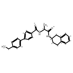 CCc1ccc(-c2ccc(C(=O)NC(C)C(=O)NC3CCc4ccccc4C3)cc2)cc1